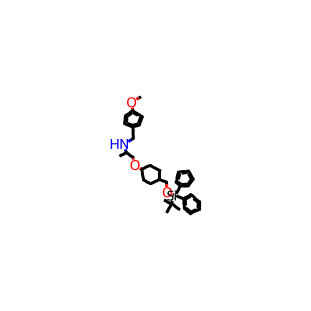 COc1ccc(CNC(C)COC2CCC(CO[Si](c3ccccc3)(c3ccccc3)C(C)(C)C)CC2)cc1